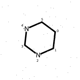 C1C[N]C[N]C1